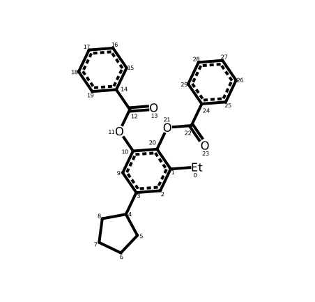 CCc1cc(C2CCCC2)cc(OC(=O)c2ccccc2)c1OC(=O)c1ccccc1